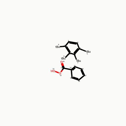 CC(C)(C)c1ccc(C(C)(C)C)c(C(C)(C)C)c1C(C)(C)C.O=C(OO)c1ccccc1